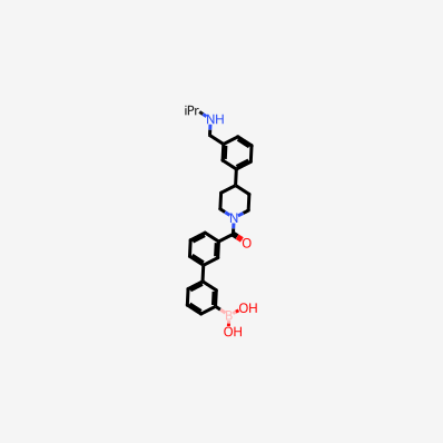 CC(C)NCc1cccc(C2CCN(C(=O)c3cccc(-c4cccc(B(O)O)c4)c3)CC2)c1